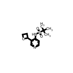 CC(C)(C)S(=O)(=O)Nc1ccn[c]c1C1CCO1